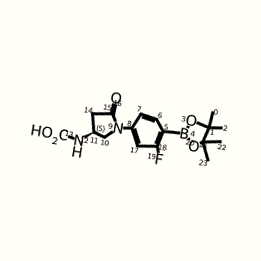 CC1(C)OB(c2ccc(N3C[C@@H](NC(=O)O)CC3=O)cc2F)OC1(C)C